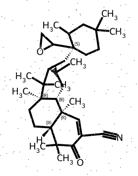 CC(=O)C[C@@H]1[C@@]2(C)C=C(C#N)C(=O)C(C)(C)[C@@H]2CC[C@@]1(C)C(C)(C)CC[C@@]1(C2CO2)CCC(C)(C)CC1C